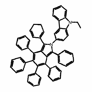 CCn1c2ccccc2c2cc(-n3c(C4=CCCC=C4)c4c(-c5ccccc5)c(-c5ccccc5)c(-c5ccccc5)c(-c5ccccc5)c4c3-c3ccccc3)ccc21